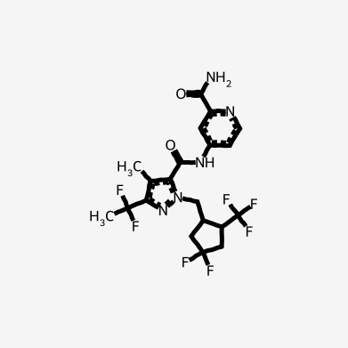 Cc1c(C(C)(F)F)nn(CC2CC(F)(F)CC2C(F)(F)F)c1C(=O)Nc1ccnc(C(N)=O)c1